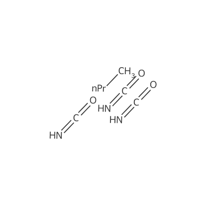 CCCC.N=C=O.N=C=O.N=C=O